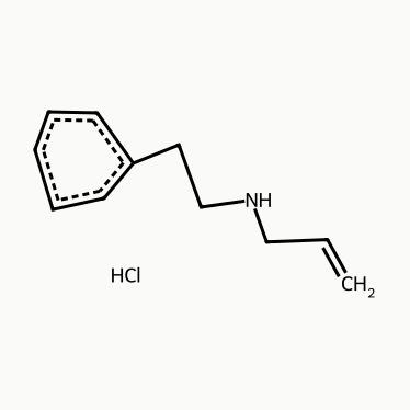 C=CCNCCc1ccccc1.Cl